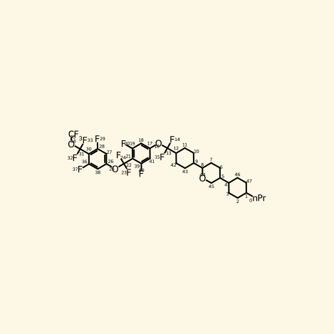 CCCC1CCC(C2CCC(C3CCC(C(F)(F)Oc4cc(F)c(C(F)(F)Oc5cc(F)c(C(F)(F)OC(F)(F)F)c(F)c5)c(F)c4)CC3)OC2)CC1